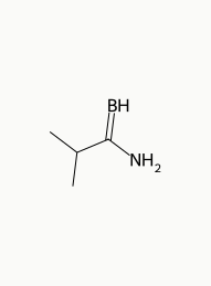 B=C(N)C(C)C